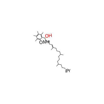 COc1c(C)c(C)c(C)c(C)c1C(O)CCC/C=C(\C)CCCC(C)CCCC(C)CCCC(C)C